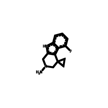 NN1Cc2[nH]c3cccc(F)c3c2C2(CC2)C1